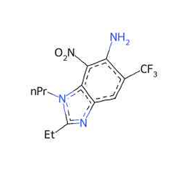 CCCn1c(CC)nc2cc(C(F)(F)F)c(N)c([N+](=O)[O-])c21